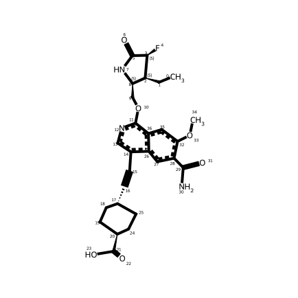 CC[C@@H]1[C@H](F)C(=O)N[C@@H]1COc1ncc(C#C[C@H]2CC[C@H](C(=O)O)CC2)c2cc(C(N)=O)c(OC)cc12